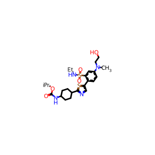 CCNS(=O)(=O)c1cc(N(C)CCO)ccc1-c1cnc(C2CCC(NC(=O)OC(C)C)CC2)s1